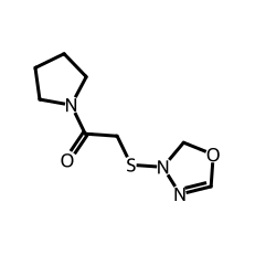 O=C(CSN1COC=N1)N1CCCC1